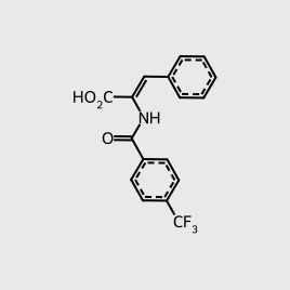 O=C(O)/C(=C/c1ccccc1)NC(=O)c1ccc(C(F)(F)F)cc1